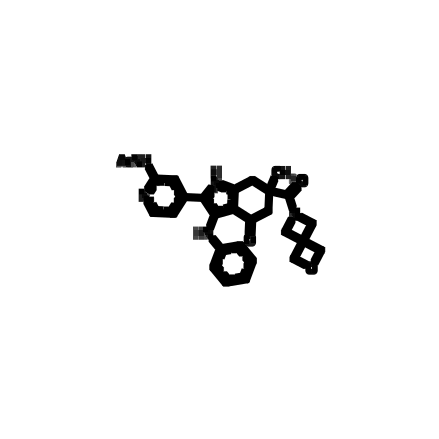 CC(=O)Nc1cc(-c2[nH]c3c(c2Nc2ccccc2)C(=O)CC(C)(C(=O)N2CC4(COC4)C2)C3)ccn1